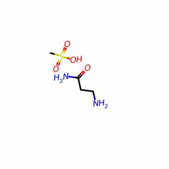 CS(=O)(=O)O.NCCC(N)=O